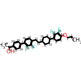 C=CCOc1ccc(C2CCC(CCc3ccc(-c4ccc(C(C)O)cc4)c(F)c3F)CC2)c(F)c1F